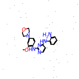 COc1cc(N2CCOCC2)ccc1Nc1nc[c]c(Nc2ccccc2N)n1